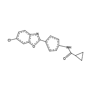 O=C(Nc1ccc(-c2nc3ccc(Cl)cc3o2)cc1)C1CC1